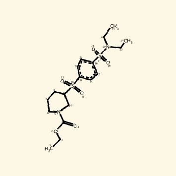 CCOC(=O)N1CCCC(S(=O)(=O)c2ccc(S(=O)(=O)N(CC)CC)cc2)C1